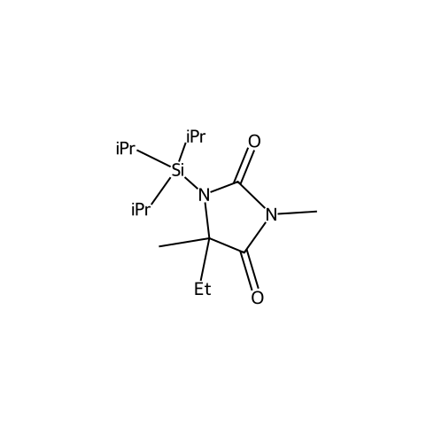 CCC1(C)C(=O)N(C)C(=O)N1[Si](C(C)C)(C(C)C)C(C)C